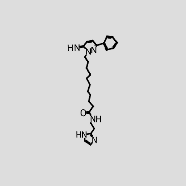 N=c1ccc(-c2ccccc2)nn1CCCCCCCCCCC(=O)NCCc1ncc[nH]1